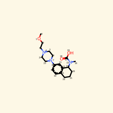 COCCN1CCN(c2ccc3c(c2)C(N(C)C(=O)O)CCC3)CC1